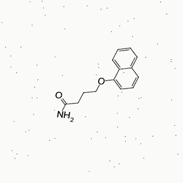 NC(=O)CCCOc1cccc2ccccc12